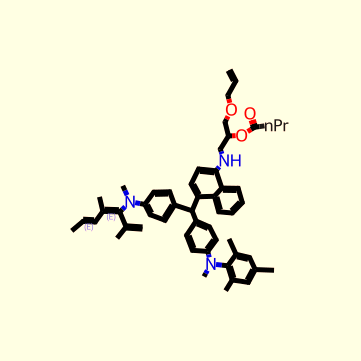 C=CCOCC(CNc1ccc(C(c2ccc(N(C)/C(C(=C)C)=C(C)/C=C/C)cc2)c2ccc(N(C)c3c(C)cc(C)cc3C)cc2)c2ccccc12)OC(=O)CCC